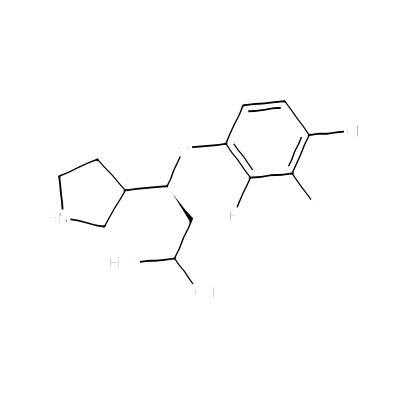 CC(C)C[C@H](Oc1ccc(Cl)c(F)c1F)C1CCNC1